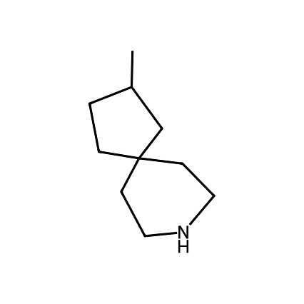 CC1CCC2(CCNCC2)C1